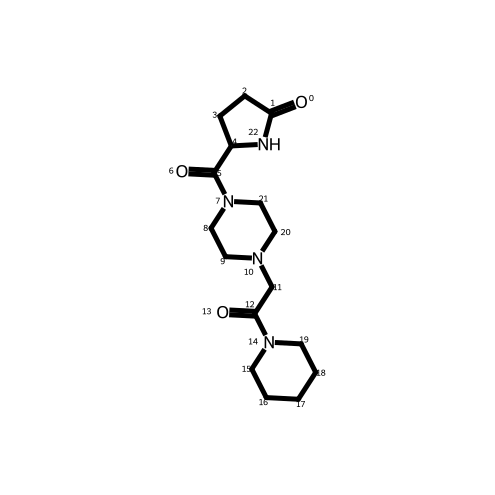 O=C1CCC(C(=O)N2CCN(CC(=O)N3CCCCC3)CC2)N1